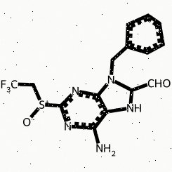 Nc1nc([S+]([O-])CC(F)(F)F)nc2c1NC(C=O)N2Cc1ccccc1